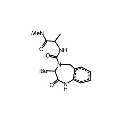 CCC(C)C1C(=O)Nc2ccccc2CN1C(=O)NC(C)C(=O)NC